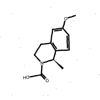 COc1ccc2c(c1)CCN(C(=O)O)[C@@H]2C